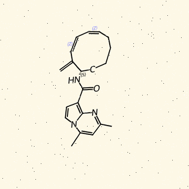 C=C1/C=C\C=C/CCCC[C@@H]1NC(=O)c1ccn2c(C)cc(C)nc12